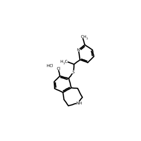 Cc1cccc(C(C)Sc2c(Cl)ccc3c2CCNCC3)n1.Cl